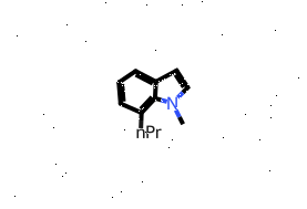 CCCc1cccc2ccn(C)c12